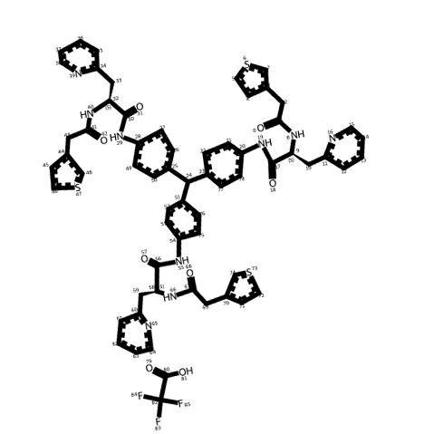 O=C(Cc1ccsc1)N[C@@H](Cc1ccccn1)C(=O)Nc1ccc(C(c2ccc(NC(=O)[C@H](Cc3ccccn3)NC(=O)Cc3ccsc3)cc2)c2ccc(NC(=O)[C@H](Cc3ccccn3)NC(=O)Cc3ccsc3)cc2)cc1.O=C(O)C(F)(F)F